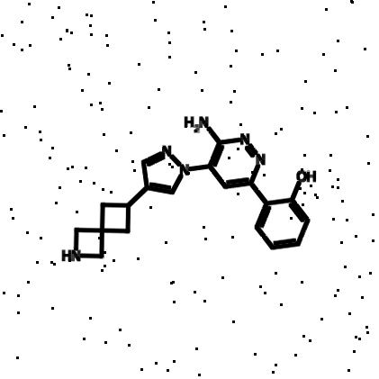 Nc1nnc(-c2ccccc2O)cc1-n1cc(C2CC3(CNC3)C2)cn1